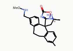 CONCc1ccc2c(c1)CCc1cc(C)ccc1C2(C[C@H](C)N)c1nc(=O)on1C